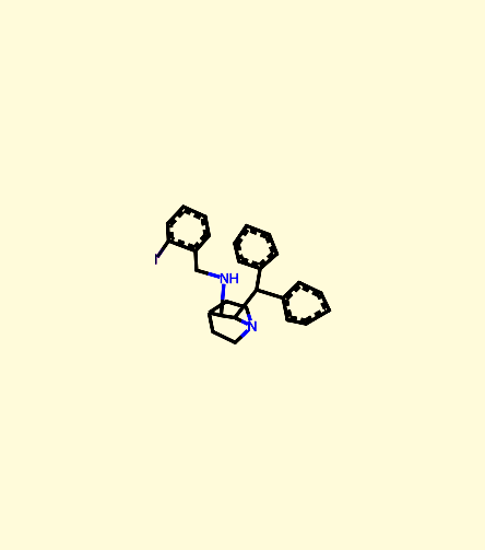 Ic1ccccc1CNC1C2CCN(CC2)C1C(c1ccccc1)c1ccccc1